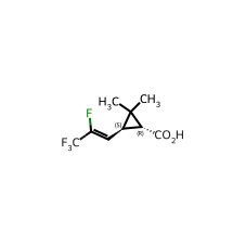 CC1(C)[C@H](C=C(F)C(F)(F)F)[C@H]1C(=O)O